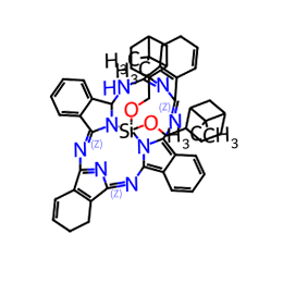 CC1(C)C2CCC(CO[Si]3(OCC4CCC5CC4C5(C)C)N4/C5=N\C6=NC(=N\c7c8ccccc8c(n73)/N=C3\N=C(NC4c4ccccc45)C4=C3C=CCC4)/C3=C6C=CCC3)C1C2